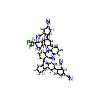 N#Cc1cc(-c2ccc(-n3c4ccccc4c4cc(-c5ccc(C#N)cc5C#N)ccc43)c(C#N)c2-n2c3ccccc3c3cc(-c4ccc(C#N)cc4C#N)ccc32)cc(C(F)(F)F)c1